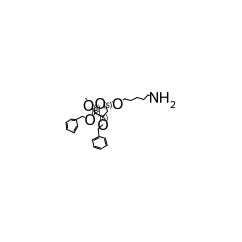 CO[C@H]1O[C@H](COCCCCCN)C[C@H](OCc2ccccc2)[C@H]1OCc1ccccc1